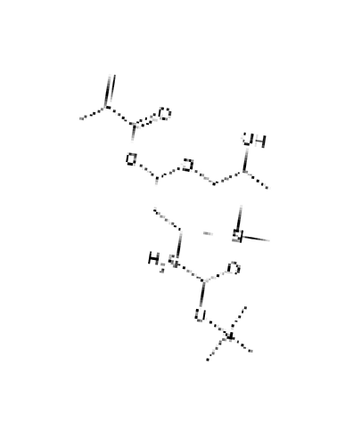 C=C(C)C(=O)OC(CC[SiH2]C(O[Si](C)(C)C)O[Si](C)(C)C)OCC(C)O